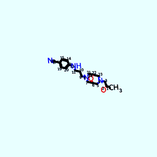 CC(=O)CN1CC2CN(CCCNc3ccc(C#N)cc3)CC(C1)O2